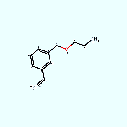 C=Cc1cccc(COCCC)c1